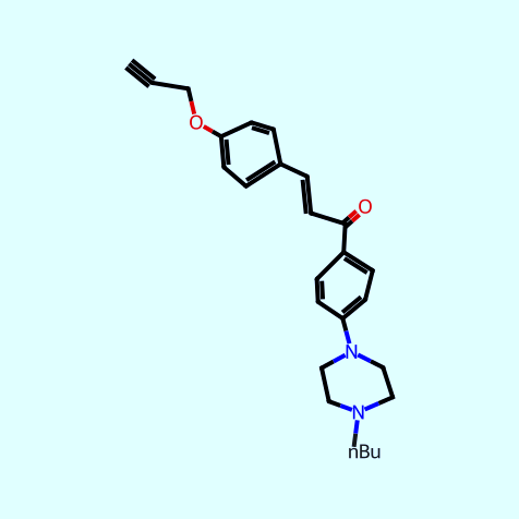 C#CCOc1ccc(/C=C/C(=O)c2ccc(N3CCN(CCCC)CC3)cc2)cc1